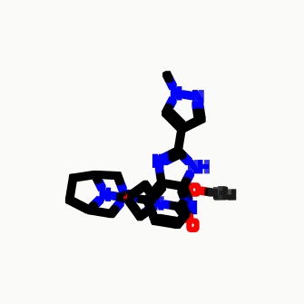 Cn1cc(-c2nc3c(N4CC5CCC(C4)N5C4CN(C(=O)OC(C)(C)C)C4)ccnc3[nH]2)cn1